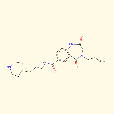 O=C(O)CCN1CC(=O)Nc2ccc(C(=O)NCCCC3CCNCC3)cc2C1=O